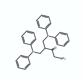 NCC(=O)C(CP(c1ccccc1)c1ccccc1)CP(c1ccccc1)c1ccccc1